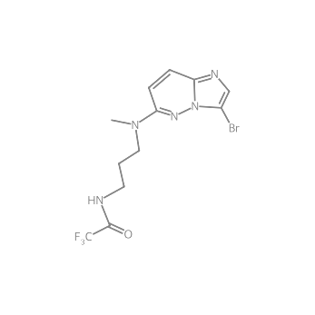 CN(CCCNC(=O)C(F)(F)F)c1ccc2ncc(Br)n2n1